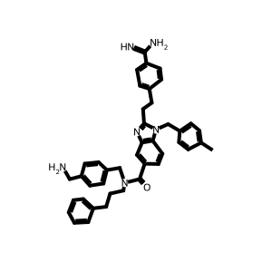 Cc1ccc(Cn2c(CCc3ccc(C(=N)N)cc3)nc3cc(C(=O)N(CCCc4ccccc4)Cc4ccc(CN)cc4)ccc32)cc1